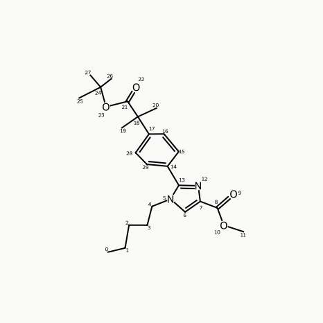 CCCCCn1cc(C(=O)OC)nc1-c1ccc(C(C)(C)C(=O)OC(C)(C)C)cc1